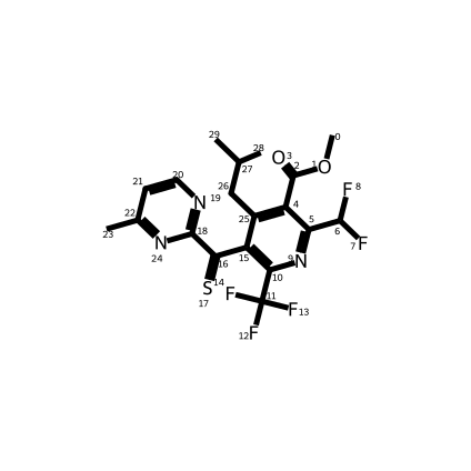 COC(=O)c1c(C(F)F)nc(C(F)(F)F)c(C(=S)c2nccc(C)n2)c1CC(C)C